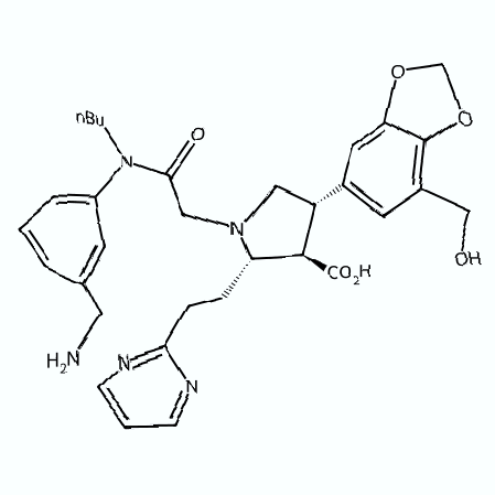 CCCCN(C(=O)CN1C[C@H](c2cc(CO)c3c(c2)OCO3)[C@@H](C(=O)O)[C@@H]1CCc1ncccn1)c1cccc(CN)c1